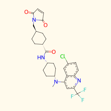 CN(c1cc(C(F)(F)F)nc2ccc(Cl)cc12)[C@H]1CC[C@@H](NC(=O)[C@H]2CC[C@H](CN3C(=O)C=CC3=O)CC2)CC1